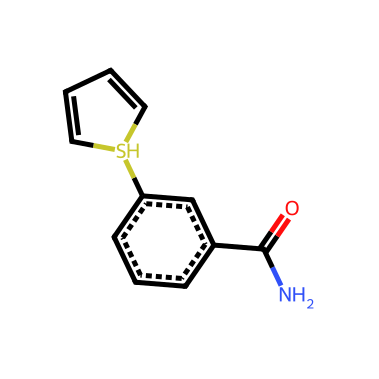 NC(=O)c1cccc([SH]2C=CC=C2)c1